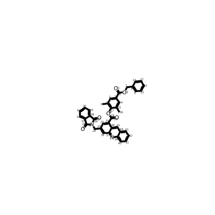 Cc1cc(C(=O)OCc2ccccc2)cc(C)c1OC(=O)c1cc(CN2C(=O)c3ccccc3C2=O)cc2nc3ccccc3cc12